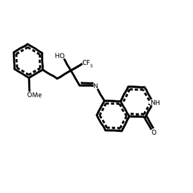 COc1ccccc1CC(O)(/C=N/c1cccc2c(=O)[nH]ccc12)C(F)(F)F